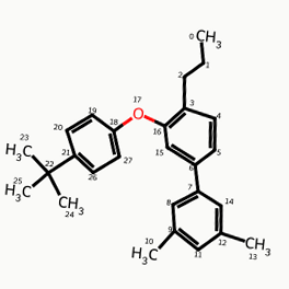 CCCc1ccc(-c2cc(C)cc(C)c2)cc1Oc1ccc(C(C)(C)C)cc1